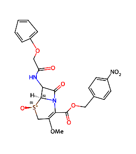 COC1=C(C(=O)OCc2ccc([N+](=O)[O-])cc2)N2C(=O)C(NC(=O)COc3ccccc3)[C@@H]2[S@+]([O-])C1